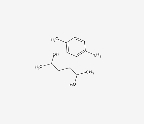 CC(O)CCC(C)O.Cc1ccc(C)cc1